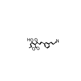 Cc1cc(O)c(C(=O)C=Cc2cccc(C=CC#N)c2)c(=O)o1